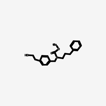 CC(C)(C)OC(=O)N(CCCc1ccccc1)Cc1ccc(CCO)cc1